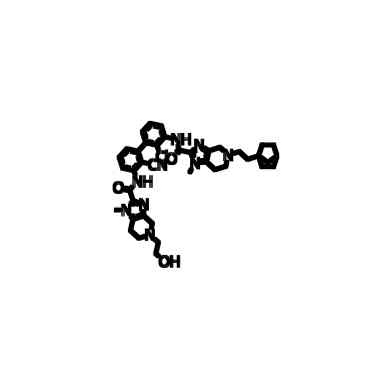 Cn1c(C(=O)Nc2cccc(-c3cccc(NC(=O)c4nc5c(n4C)CCN(CCO)C5)c3C#N)c2Cl)nc2c1CCN(CCC13CCC(CC1)C3)C2